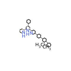 CC1(C)c2ccccc2-c2ccc(-c3ccc(-c4ccc(C5C=C(c6ccccc6)C=C(C6C=CC=CN6)N5)nc4)cc3)cc21